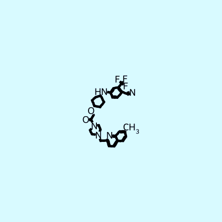 Cc1ccc2ccc(CN3CCN(C(=O)CO[C@H]4CC[C@H](Nc5ccc(C#N)c(C(F)(F)F)c5)CC4)CC3)nc2c1